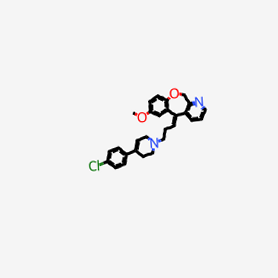 COc1ccc2c(c1)C(=CCCN1CC=C(c3ccc(Cl)cc3)CC1)c1cccnc1CO2